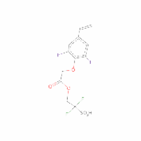 C=Cc1cc(I)c(OCC(=O)OCC(F)(F)S(=O)(=O)O)c(I)c1